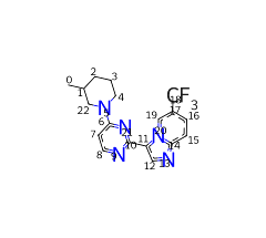 CC1CCCN(c2ccnc(-c3cnc4ccc(C(F)(F)F)cn34)n2)C1